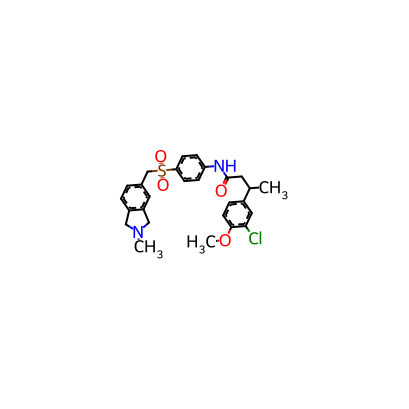 COc1ccc(C(C)CC(=O)Nc2ccc(S(=O)(=O)Cc3ccc4c(c3)CN(C)C4)cc2)cc1Cl